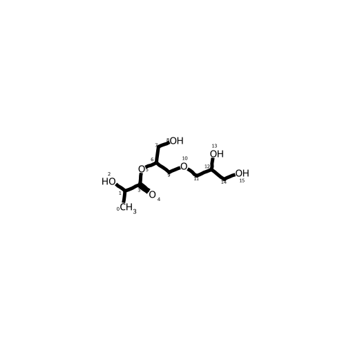 CC(O)C(=O)OC(CO)COCC(O)CO